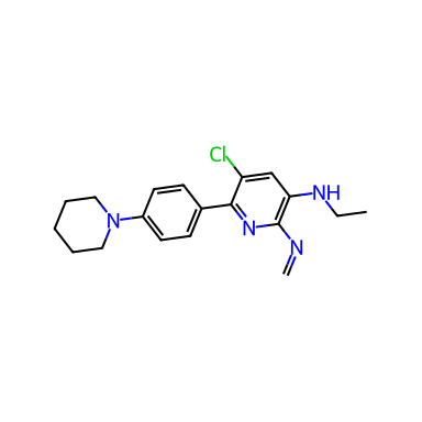 C=Nc1nc(-c2ccc(N3CCCCC3)cc2)c(Cl)cc1NCC